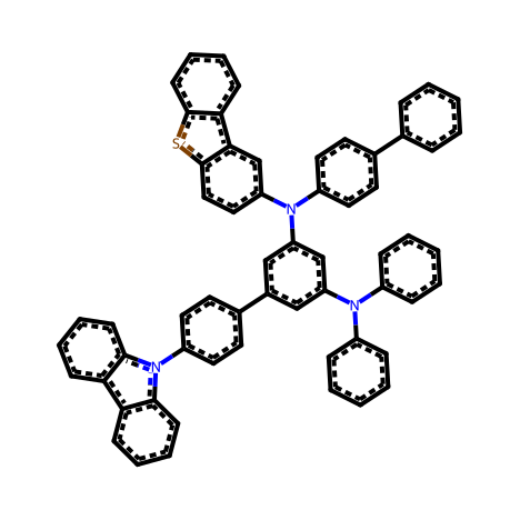 c1ccc(-c2ccc(N(c3cc(-c4ccc(-n5c6ccccc6c6ccccc65)cc4)cc(N(c4ccccc4)c4ccccc4)c3)c3ccc4sc5ccccc5c4c3)cc2)cc1